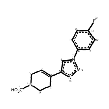 O=C(O)N1CC=C(c2cn(-c3ccc(F)cc3)nn2)CC1